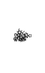 Cc1cc(C(C)Nc2ccc(Cl)nc2C(N)=NO)c2oc(-c3cccnc3)c(-c3cnoc3)c(=O)c2c1